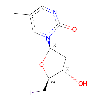 Cc1cnc(=O)n([C@H]2C[C@H](O)[C@@H](CI)O2)c1